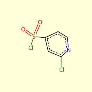 O=S(=O)(Cl)c1ccnc(Cl)c1